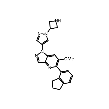 COc1cc2c(cnn2-c2cnn(C3CNC3)c2)nc1-c1cccc2c1CCC2